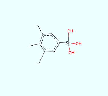 Cc1cc([Si](O)(O)O)cc(C)c1C